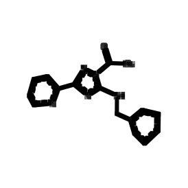 CC(C)(C)C(=O)n1nc(-c2ccccn2)nc1NCc1ccccc1